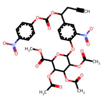 C#CCC(OC(=O)Oc1ccc([N+](=O)[O-])cc1)c1ccc(OC2OC(C(=O)OC)C(OC(C)=O)C(OC(C)=O)C2OC(C)=O)c([N+](=O)[O-])c1